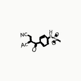 CC(=O)C(CC#N)C(=O)c1ccc(NS(C)(=O)=O)cc1